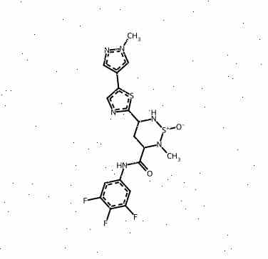 CN1C(C(=O)Nc2cc(F)c(F)c(F)c2)CC(c2ncc(-c3cnn(C)c3)s2)N[S+]1[O-]